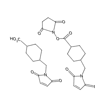 O=C(O)C1CCC(CN2C(=O)C=CC2=O)CC1.O=C(ON1C(=O)CCC1=O)C1CCC(CN2C(=O)C=CC2=O)CC1